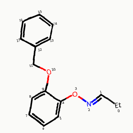 CCC=NOc1ccccc1OCc1ccccc1